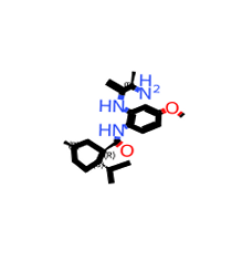 C=C(Nc1cc(OC)ccc1NC(=O)[C@@H]1C[C@H](C)CC[C@H]1C(C)C)[C@@H](C)N